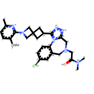 COc1ccc(C)nc1N1CC2(CC(c3nnc4n3-c3ccc(Cl)cc3CN(CC(=O)N(C)C)C4)C2)C1